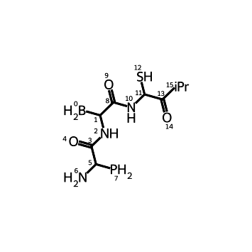 BC(NC(=O)C(N)P)C(=O)NC(S)C(=O)C(C)C